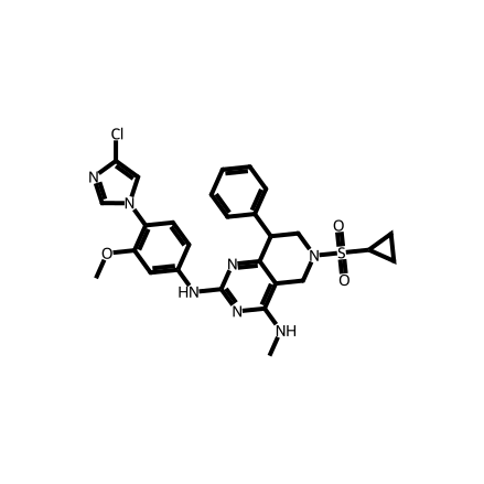 CNc1nc(Nc2ccc(-n3cnc(Cl)c3)c(OC)c2)nc2c1CN(S(=O)(=O)C1CC1)CC2c1ccccc1